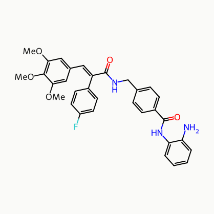 COc1cc(C=C(C(=O)NCc2ccc(C(=O)Nc3ccccc3N)cc2)c2ccc(F)cc2)cc(OC)c1OC